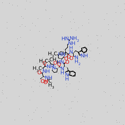 CC(=O)N[C@@H](CO)C(=O)N[C@@H](C)C(=O)N[C@H](C(=O)N1CCC[C@H]1C(=O)N[C@@H](Cc1c[nH]c2ccccc12)C(=O)N[C@@H](CC(C)C)C(=O)N[C@@H](CCCNC(=N)N)C(=O)N[C@@H](Cc1c[nH]c2ccccc12)C(N)=O)C(C)C